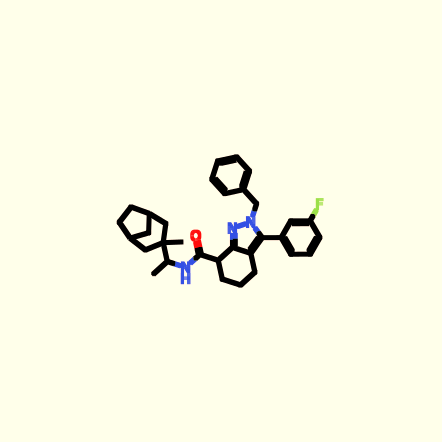 CC(NC(=O)C1CCCc2c1nn(Cc1ccccc1)c2-c1cccc(F)c1)C1(C)CC2CCC(C2)C1